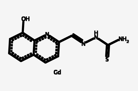 NC(=S)NN=Cc1ccc2cccc(O)c2n1.[Gd]